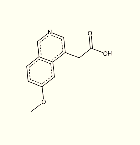 COc1ccc2cncc(CC(=O)O)c2c1